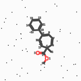 COC(=O)C1(C)C=CC=C(c2ccccc2)C=C1